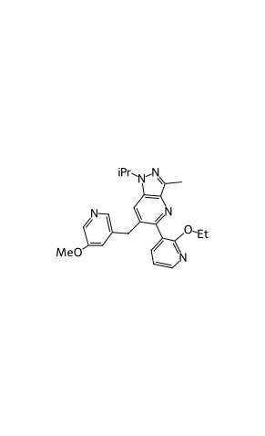 CCOc1ncccc1-c1nc2c(C)nn(C(C)C)c2cc1Cc1cncc(OC)c1